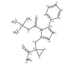 CC(C)(C)OC(=O)n1c(SC2(C(N)=O)CC2)nnc1-c1ccncc1